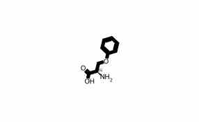 N[C@@H](COc1ccccc1)C(=O)O